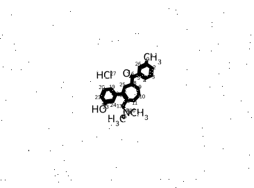 Cc1cccc(C(=O)C2CCCC(CN(C)C)=C(c3cccc(O)c3)C2)c1.Cl